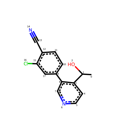 CC(O)c1ccncc1-c1ccc(C#N)c(Cl)c1